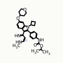 CN/C=C\C(=N)c1c(-c2ccc(NC(=O)OC(C)C)cc2)n(C2CCC2)c2cc(OC3CCOCC3)ccc12